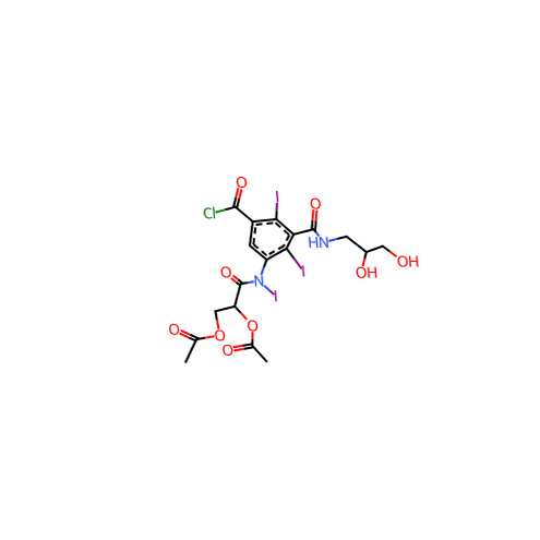 CC(=O)OCC(OC(C)=O)C(=O)N(I)c1cc(C(=O)Cl)c(I)c(C(=O)NCC(O)CO)c1I